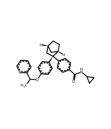 CC(Oc1ccc([C@@]2(c3ccc(C(=O)NC4CC4)cc3)C[C@@H]3CC[C@H]2C3)cc1)c1ccccn1